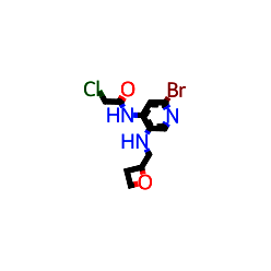 O=C(CCl)Nc1cc(Br)ncc1NCC1CCO1